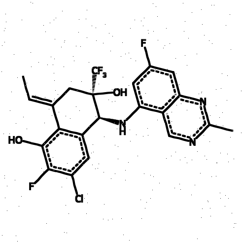 C/C=C1\C[C@](O)(C(F)(F)F)[C@@H](Nc2cc(F)cc3nc(C)ncc23)c2cc(Cl)c(F)c(O)c21